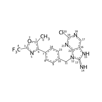 Cc1oc(C(F)(F)F)nc1-c1ccc(Cn2c(=N)[nH]c3cnc(Cl)nc32)cc1